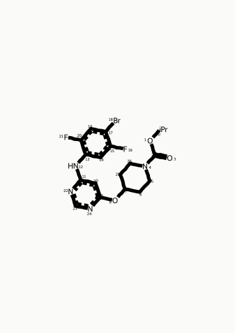 CC(C)OC(=O)N1CCC(Oc2cc(Nc3cc(F)c(Br)cc3F)ncn2)CC1